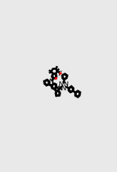 CC1CC(C)(C)c2cc(-n3c4ccccc4c4cc5c6ccccc6n(-c6nc(-c7ccc(-c8ccccc8)cc7)nc(-c7cccc(F)c7)n6)c5cc43)ccc2C1(C)C